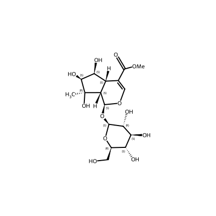 COC(=O)C1=CO[C@@H](O[C@@H]2O[C@H](CO)[C@@H](O)[C@H](O)[C@H]2O)[C@H]2[C@@H]1[C@H](O)[C@H](O)[C@]2(C)O